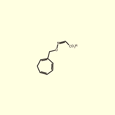 O=C(O)/C=N\OCC1=CCC=CC=C1